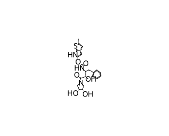 Cc1cc2cc(OC(=O)N[C@@H](Cc3ccccc3)[C@@H](O)C(=O)N3C[C@@H](O)[C@@H](O)C3)[nH]c2s1